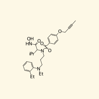 CC#CCOc1ccc(S(=O)(=O)N(CCCN(CC)c2ccccc2CC)C(C(=O)NO)C(C)C)cc1